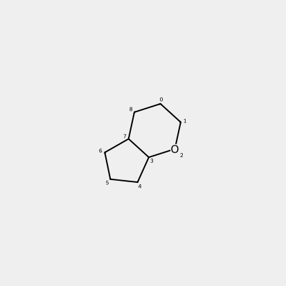 C1COC2CCCC2C1